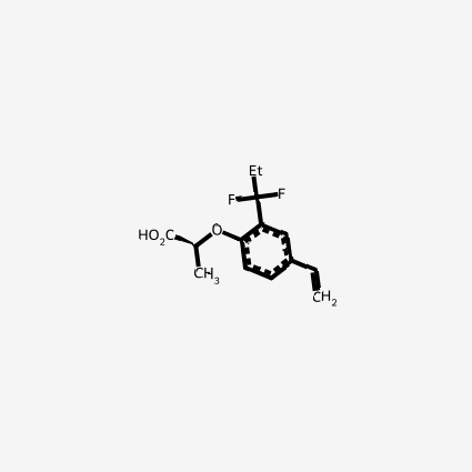 C=Cc1ccc(O[C@@H](C)C(=O)O)c(C(F)(F)CC)c1